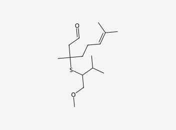 COCC(SC(C)(CC=O)CCC=C(C)C)C(C)C